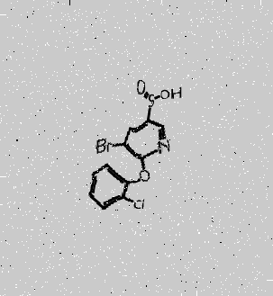 O=S(O)c1cnc(Oc2ccccc2Cl)c(Br)c1